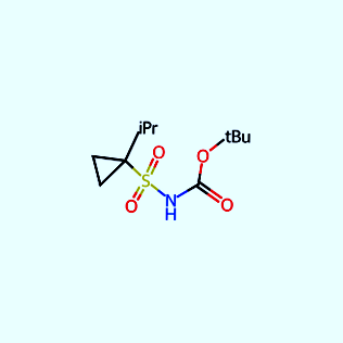 CC(C)C1(S(=O)(=O)NC(=O)OC(C)(C)C)CC1